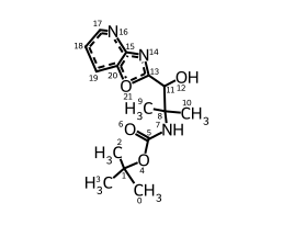 CC(C)(C)OC(=O)NC(C)(C)C(O)c1nc2ncccc2o1